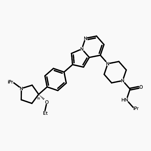 CCO[C@]1(c2ccc(-c3cc4c(N5CCN(C(=O)NC(C)C)CC5)ccnn4c3)cc2)CCN(C(C)C)C1